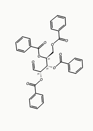 O=C[C@@H](OC(=O)c1ccccc1)[C@@H](OC(=O)c1ccccc1)[C@H](COC(=O)c1ccccc1)OC(=O)c1ccccc1